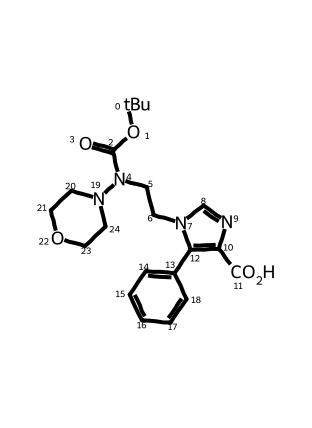 CC(C)(C)OC(=O)N(CCn1cnc(C(=O)O)c1-c1ccccc1)N1CCOCC1